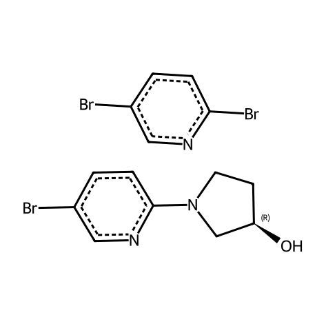 Brc1ccc(Br)nc1.O[C@@H]1CCN(c2ccc(Br)cn2)C1